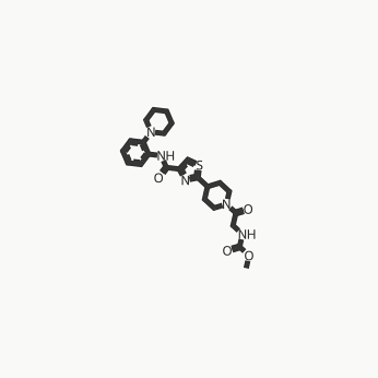 COC(=O)NCC(=O)N1CCC(c2nc(C(=O)Nc3ccccc3N3CCCCC3)cs2)CC1